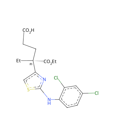 CCOC(=O)[C@](CC)(CCC(=O)O)c1csc(Nc2ccc(Cl)cc2Cl)n1